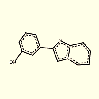 O=Nc1cccc(-c2cn3ccccc3n2)c1